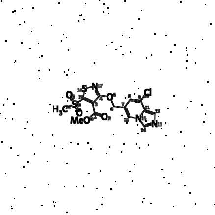 COC(=O)c1c(OCc2cc(Cl)c3cncn3c2)nsc1S(C)(=O)=O